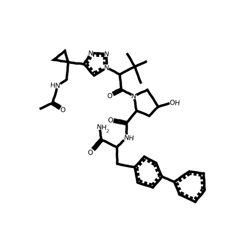 CC(=O)NCC1(c2cn(C(C(=O)N3CC(O)CC3C(=O)NC(Cc3ccc(-c4ccccc4)cc3)C(N)=O)C(C)(C)C)nn2)CC1